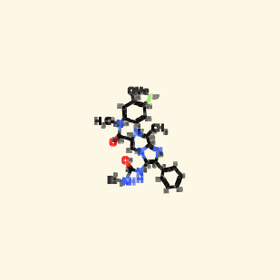 CCNC(=O)Nc1c(-c2ccccc2)nc2c(C)nc(C(=O)N(C)c3ccc(F)c(OC)c3)cn12